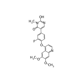 COc1cc2nccc(Oc3ccc(-c4cnc(O)n(C)c4=O)cc3F)c2cc1OC